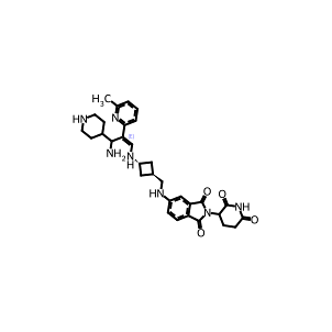 Cc1cccc(/C(=C/N[C@H]2C[C@H](CNc3ccc4c(c3)C(=O)N(C3CCC(=O)NC3=O)C4=O)C2)C(N)C2CCNCC2)n1